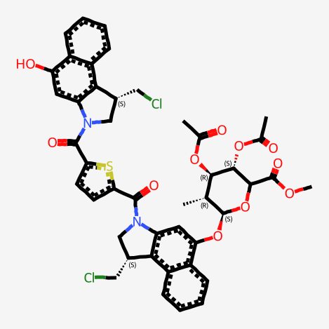 COC(=O)C1O[C@@H](Oc2cc3c(c4ccccc24)[C@H](CCl)CN3C(=O)c2ccc(C(=O)N3C[C@@H](CCl)c4c3cc(O)c3ccccc43)s2)[C@H](C)[C@@H](OC(C)=O)[C@@H]1OC(C)=O